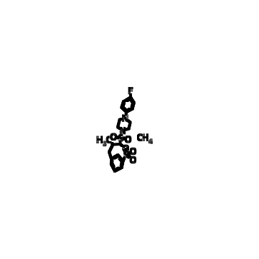 C.CC1Cc2cccc(c2)S(=O)(=O)OC1S(=O)(=O)N1CCN(c2ccc(F)cc2)CC1